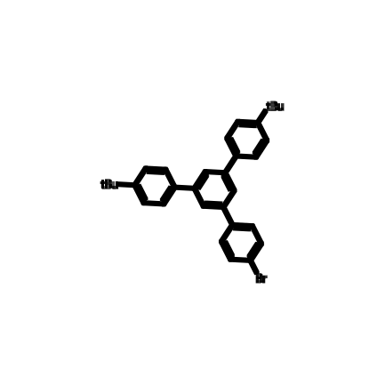 CC(C)(C)c1ccc(-c2cc(-c3ccc(Br)cc3)cc(-c3ccc(C(C)(C)C)cc3)c2)cc1